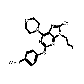 CCc1nc2c(N3CCOCC3)nc(Sc3ccc(OC)cc3)nc2n1CCF